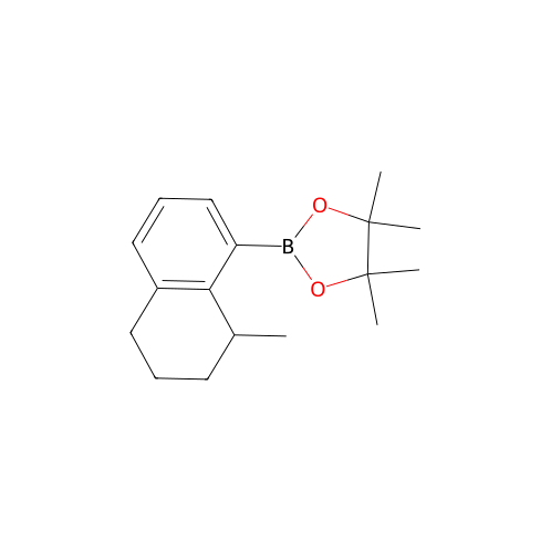 CC1CCCc2cccc(B3OC(C)(C)C(C)(C)O3)c21